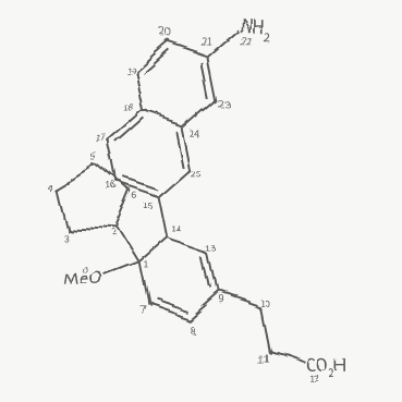 COC1(C2CCCC2)C=CC(CCC(=O)O)=CC1c1ccc2ccc(N)cc2c1